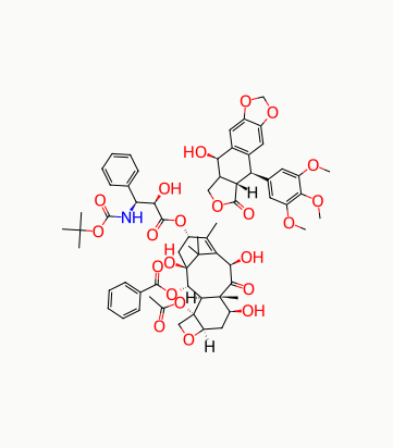 CC(=O)O[C@@]12CO[C@@H]1C[C@H](O)[C@@]1(C)C(=O)[C@H](O)C3=C(C)[C@@H](OC(=O)[C@H](O)[C@@H](NC(=O)OC(C)(C)C)c4ccccc4)C[C@@](O)([C@@H](OC(=O)c4ccccc4)[C@H]21)C3(C)C.COc1cc([C@@H]2c3cc4c(cc3[C@H](O)C3COC(=O)[C@H]32)OCO4)cc(OC)c1OC